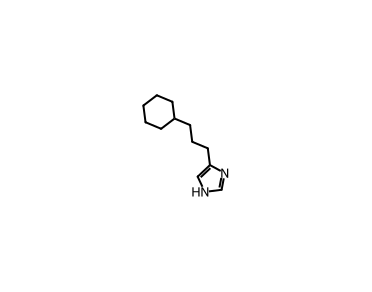 c1nc(CCCC2CCCCC2)c[nH]1